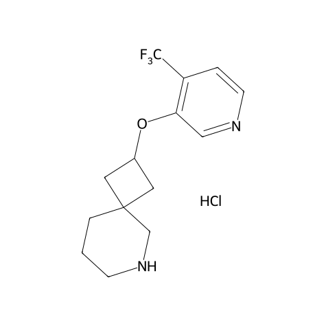 Cl.FC(F)(F)c1ccncc1OC1CC2(CCCNC2)C1